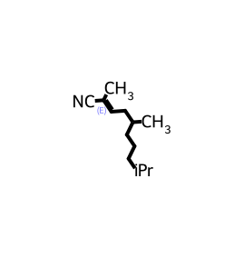 C/C(C#N)=C\CC(C)CCCC(C)C